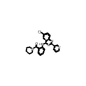 O=C(c1ccccc1Nc1nc(-c2cccnc2)nc2ccc(Cl)cc12)N1CCCCC1